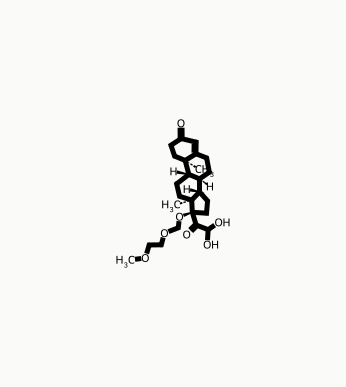 COCCOCO[C@]1(C(=O)C(O)O)CC[C@H]2[C@@H]3CCC4=CC(=O)CC[C@]4(C)[C@H]3CC[C@@]21C